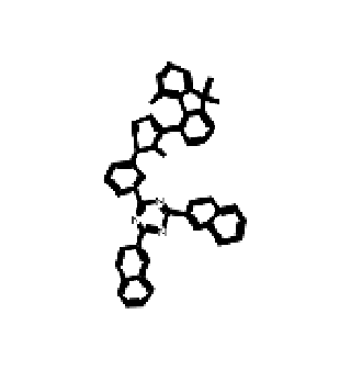 Cc1cccc2c1-c1c(C3=CC=CC(c4cccc(-c5nc(-c6ccc7ccccc7c6)nc(-c6ccc7ccccc7c6)n5)c4)C3C)cccc1C2(C)C